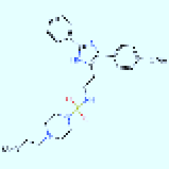 COCCN1CCN(S(=O)(=O)NCCc2[nH]c(-c3ccccc3)nc2-c2ccc(OC)cc2)CC1